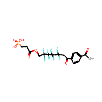 CCCC(=O)c1ccc(C(=O)CC(F)(F)C(F)(F)C(F)(F)C(F)(F)COC(=O)CCP(=O)(O)O)cc1